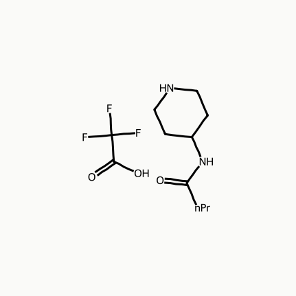 CCCC(=O)NC1CCNCC1.O=C(O)C(F)(F)F